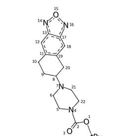 CC(C)(C)OC(=O)N1CCN(C2CCc3cc4nonc4cc3C2)CC1